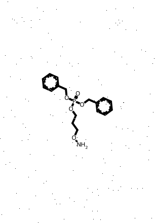 NOCCCOP(=O)(OCc1ccccc1)OCc1ccccc1